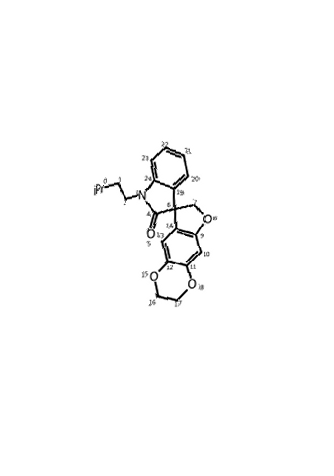 CC(C)CCN1C(=O)C2(COc3cc4c(cc32)OCCO4)c2ccccc21